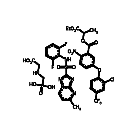 CCOC(=O)C(C)OC(=O)c1cc(Oc2ccc(C(F)(F)F)cc2Cl)ccc1[N+](=O)[O-].Cc1ccn2nc(S(=O)(=O)Nc3c(F)cccc3F)nc2n1.O=C(O)CNCP(=O)(O)O